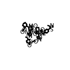 COCOc1ccccc1-c1cc(-c2cnn(C(C)c3ccc(=O)n(CCOc4cc(C(C(=O)N5C[C@H](O)C[C@H]5C(=O)NC(C)c5ccc(-c6scnc6C)cc5)C(C)C)on4)c3)c2)c(N)nn1